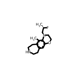 Cc1c2c(cc3c1N(C[C@H](C)F)CCO3)CCNCC2